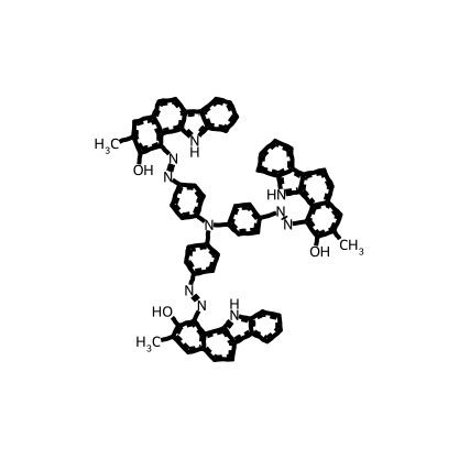 Cc1cc2ccc3c4ccccc4[nH]c3c2c(N=Nc2ccc(N(c3ccc(N=Nc4c(O)c(C)cc5ccc6c7ccccc7[nH]c6c45)cc3)c3ccc(N=Nc4c(O)c(C)cc5ccc6c7ccccc7[nH]c6c45)cc3)cc2)c1O